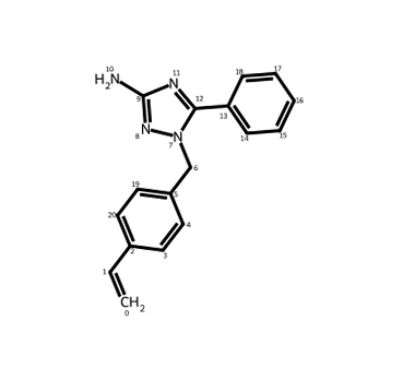 C=Cc1ccc(Cn2nc(N)nc2-c2ccccc2)cc1